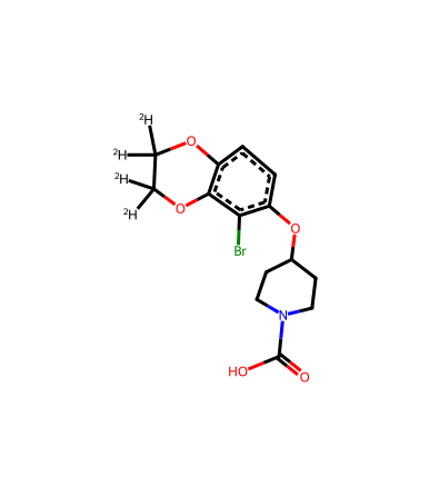 [2H]C1([2H])Oc2ccc(OC3CCN(C(=O)O)CC3)c(Br)c2OC1([2H])[2H]